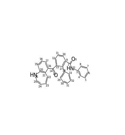 O=C(Nc1ccccc1)c1cccc(C(=O)c2cccc3c2C=CC=CN3)c1-c1ccccc1